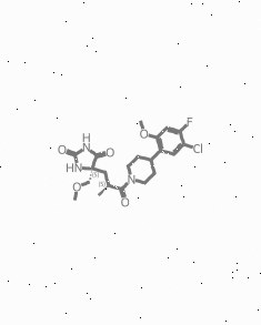 COC[C@]1(C[C@H](C)C(=O)N2CCC(c3cc(Cl)c(F)cc3OC)CC2)NC(=O)NC1=O